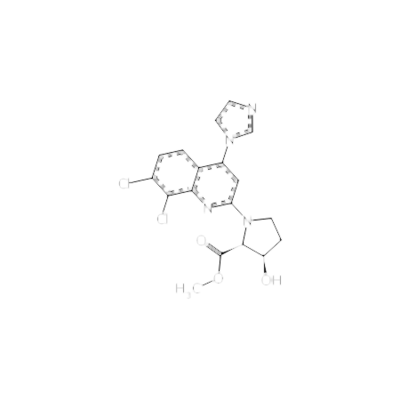 COC(=O)[C@@H]1[C@H](O)CCN1c1cc(-n2ccnc2)c2ccc(Cl)c(Cl)c2n1